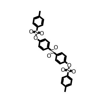 Cc1ccc(S(=O)(=O)Oc2ccc(S(=O)(=O)c3ccc(OS(=O)(=O)c4ccc(C)cc4)cc3)cc2)cc1